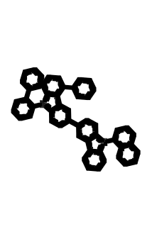 c1ccc(-c2ccccc2-n2c3ccc(-c4ccc5c(c4)c4ccccc4n5-c4cccc5ccccc45)cc3c3c(-c4ccccc4)cccc32)cc1